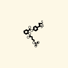 O=C(CCCO[N+](=O)[O-])Oc1ccccc1C(=O)Oc1ccc(-c2cc(=S)ss2)cc1